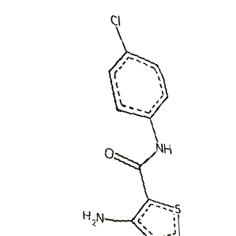 Nc1ccsc1C(=O)Nc1ccc(Cl)cc1